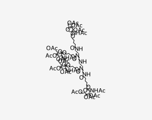 CC(=O)NC1C(OC(C)=O)[C@@H](OC(C)=O)C(COC(C)=O)O[C@H]1OCCCCC(=O)NCCN(CCNCCN(CCNC(=O)CCCCOCC1(NC(C)=O)COC(COC(C)=O)[C@H](OC(C)=O)C1OC(C)=O)C(=O)CCCCO[C@@H]1OC(COC(C)=O)[C@H](OC(C)=O)C(OC(C)=O)C1NC(C)=O)C(=O)CCCCO[C@@H]1OC(COC(C)=O)[C@H](OC(C)=O)C(OC(C)=O)C1NC(C)=O